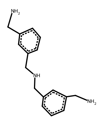 NCc1cccc(CNCc2cccc(CN)c2)c1